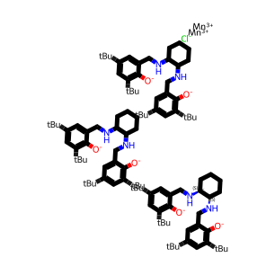 CC(C)(C)c1cc(CNC2CCCCC2NCc2cc(C(C)(C)C)cc(C(C)(C)C)c2[O-])c([O-])c(C(C)(C)C)c1.CC(C)(C)c1cc(CNC2CCCCC2NCc2cc(C(C)(C)C)cc(C(C)(C)C)c2[O-])c([O-])c(C(C)(C)C)c1.CC(C)(C)c1cc(CN[C@H]2CCCC[C@@H]2NCc2cc(C(C)(C)C)cc(C(C)(C)C)c2[O-])c([O-])c(C(C)(C)C)c1.[Cl-].[Mn+3].[Mn+3]